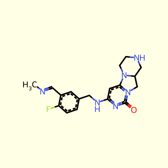 C/N=C/c1cc(CNc2cc3n(c(=O)n2)CC2CNCCN32)ccc1F